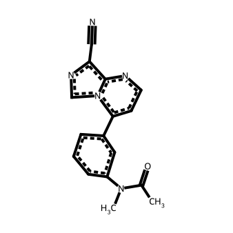 CC(=O)N(C)c1cccc(-c2ccnc3c(C#N)ncn23)c1